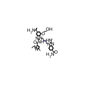 C=C(N)c1cc(OCCO)c2c(c1)nc(NC(=O)c1cc(C)nn1CC)n2C/C=C/Cn1c(NC)nc2cc(C(N)=O)ccc21